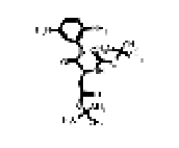 CC(C)(C)OC(=O)CC(NC(=O)OC(C)(C)C)C(=O)Nc1cc(N)ccc1N